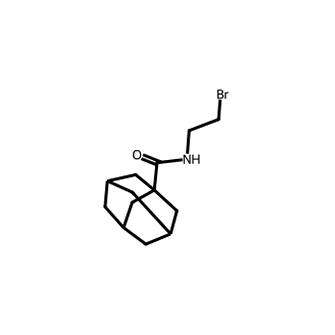 O=C(NCCBr)C12CC3CC(CC(C3)C1)C2